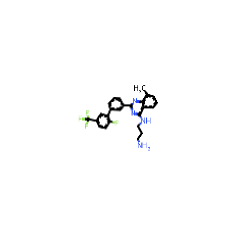 Cc1cccc2c(NCCCN)nc(-c3cccc(-c4cc(C(F)(F)F)ccc4F)c3)nc12